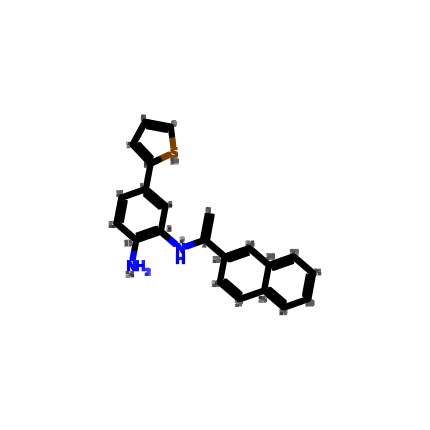 C=C(Nc1cc(-c2cccs2)ccc1N)c1ccc2ccccc2c1